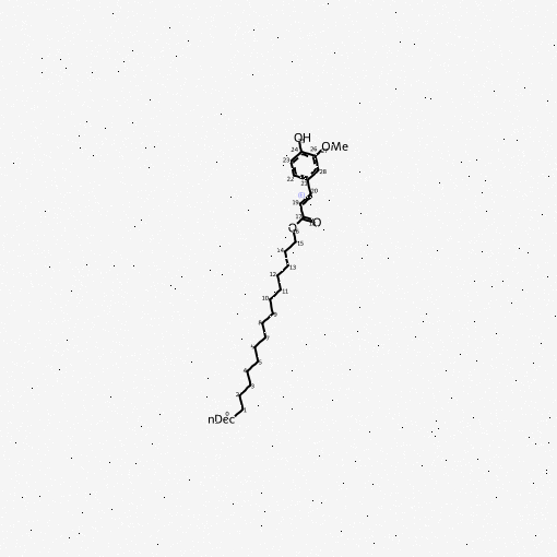 CCCCCCCCCCCCCCCCCCCCCCCCCOC(=O)/C=C/c1ccc(O)c(OC)c1